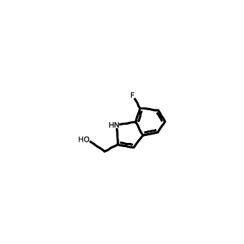 OCc1cc2cccc(F)c2[nH]1